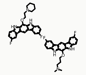 CN(C)CCCOc1c2[nH]c3ccc(F)cc3c2cc2c1[nH]c1ccc(F)cc12.Fc1ccc2[nH]c3c(OCCN4CCCCC4)c4[nH]c5ccc(F)cc5c4cc3c2c1